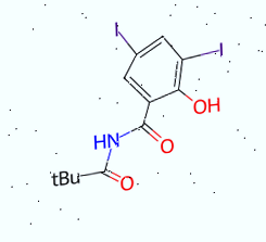 CC(C)(C)C(=O)NC(=O)c1cc(I)cc(I)c1O